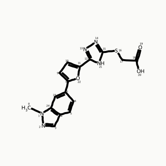 Cn1ncc2ccc(-c3ccc(-c4nnc(SCC(=O)O)[nH]4)o3)cc21